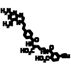 CC(C)(C)c1ccc(C(=O)O)c(C(=O)NCCC[C@H](NC(=O)c2ccc(CCc3cnc4nc(N)nc(N)c4n3)cc2)C(=O)O)c1